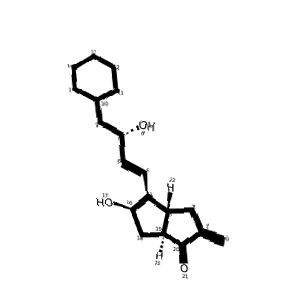 C=C1C[C@H]2[C@H](/C=C/[C@@H](O)CC3CCCCC3)[C@H](O)C[C@@H]2C1=O